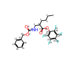 CCCCC(CNC(=O)OCc1ccccc1)C(=O)Oc1c(F)c(F)c(F)c(F)c1F